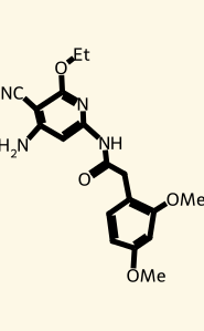 CCOc1nc(NC(=O)Cc2ccc(OC)cc2OC)cc(N)c1C#N